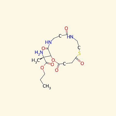 CCCOC(=O)[C@](C)(N)C1OC(=O)CCC(=O)SCCNC(=O)CCNC1=O